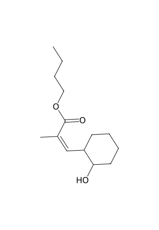 CCCCOC(=O)C(C)=CC1CCCCC1O